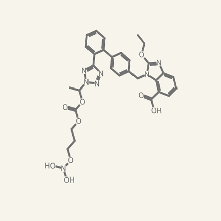 CCOc1nc2cccc(C(=O)O)c2n1Cc1ccc(-c2ccccc2-c2nnn(C(C)OC(=O)OCCCON(O)O)n2)cc1